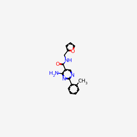 Cc1ccccc1-c1ncc(C(=O)NCc2ccco2)c(N)n1